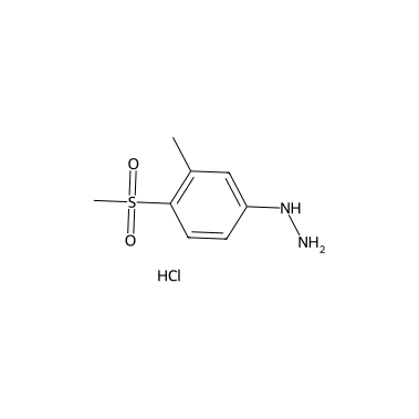 Cc1cc(NN)ccc1S(C)(=O)=O.Cl